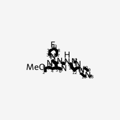 COC(C)c1cc2cnc(Nc3ccc(N4CCN(C)CC4)nn3)nc2c(N2CCC(F)CC2)n1